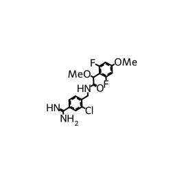 COc1cc(F)c(C(OC)C(=O)NCc2ccc(C(=N)N)cc2Cl)c(F)c1